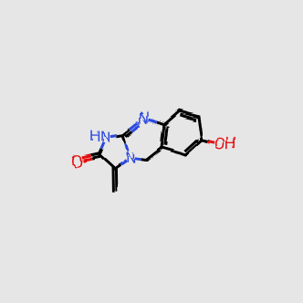 C=c1c(=O)[nH]c2n1Cc1cc(O)ccc1N=2